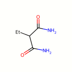 [CH2]CC(C(N)=O)C(N)=O